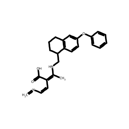 C=N/C=C\C(C(=O)O)=C(/C)NCC1CCCc2cc(Oc3ccccc3)ccc21